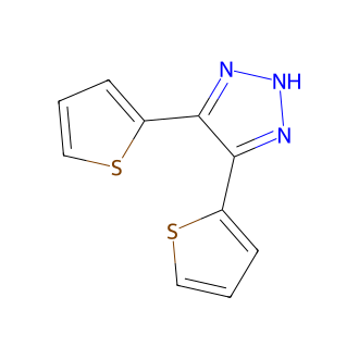 c1csc(-c2n[nH]nc2-c2cccs2)c1